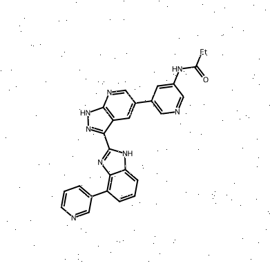 CCC(=O)Nc1cncc(-c2cnc3[nH]nc(-c4nc5c(-c6cccnc6)cccc5[nH]4)c3c2)c1